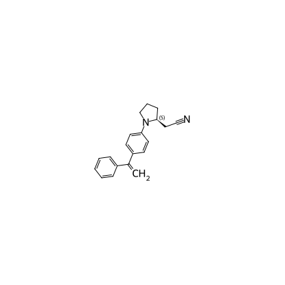 C=C(c1ccccc1)c1ccc(N2CCC[C@H]2CC#N)cc1